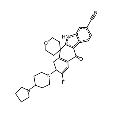 N#Cc1ccc2c3c([nH]c2c1)C1(CCOCC1)C1=C(C=C(F)C(N2CCC(N4CCCC4)CC2)C1)C3=O